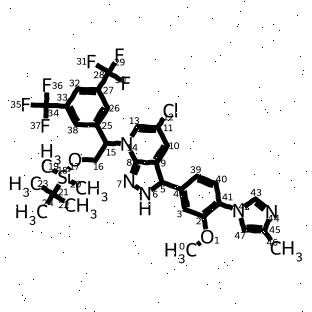 COc1cc(C2NN=C3C2=CC(Cl)=CN3C(CO[Si](C)(C)C(C)(C)C)c2cc(C(F)(F)F)cc(C(F)(F)F)c2)ccc1-n1cnc(C)c1